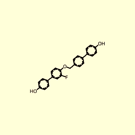 Oc1ccc(-c2ccc(COc3ccc(-c4ccc(O)cc4)cc3F)cc2)cc1